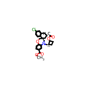 COC(=O)c1ccc2c(c1)N(C[C@@H]1CC[C@H]1OC(C)=O)C[C@@]1(CCCc3cc(Cl)ccc31)CO2